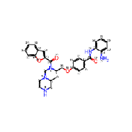 CC1CNCCN1CN(CCOc1ccc(C(=O)Nc2ccccc2N)cc1)C(=O)c1cc2ccccc2o1